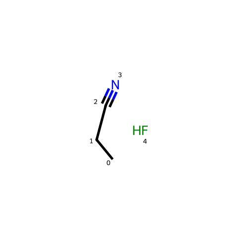 CCC#N.F